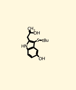 C=C(O)Cc1[nH]c2ccc(O)cc2c1SC(C)(C)C